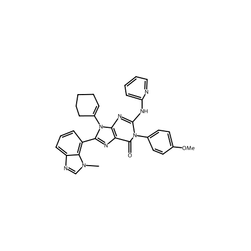 COc1ccc(-n2c(Nc3ccccn3)nc3c(nc(-c4cccc5ncn(C)c45)n3C3=CCCCC3)c2=O)cc1